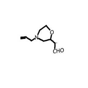 C=CCN1CCOC([CH]C=O)C1